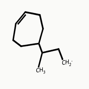 [CH2]CC(C)C1CCC=CCC1